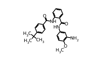 COc1ccc(NC(=O)c2ccccc2NC(=O)c2ccc(C(C)(C)C)cc2)cc1N